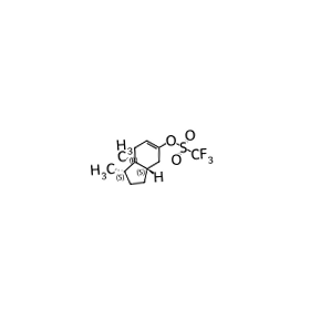 C[C@H]1CC[C@H]2CC(OS(=O)(=O)C(F)(F)F)=CC[C@@]21C